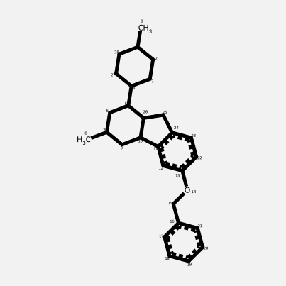 CC1CCC(C2CC(C)CC3c4cc(OCc5ccccc5)ccc4CC32)CC1